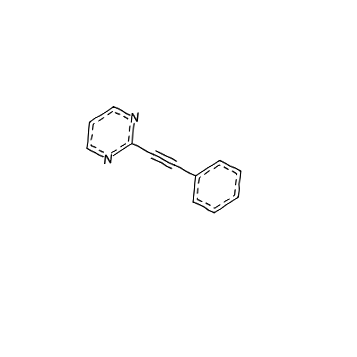 C(#Cc1ncccn1)c1ccccc1